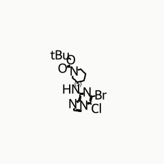 CC(C)(C)OC(=O)N1CCC[C@H](Nc2nc(Br)c(Cl)n3ccnc23)C1